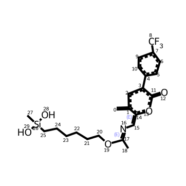 C=c1cc(-c2ccc(C(F)(F)F)cc2)c(=O)o/c1=C/N=C(\C)OCCCCCC[Si](C)(O)O